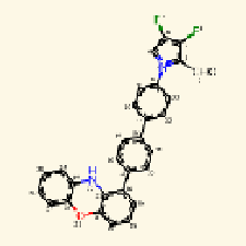 O=Cc1c(F)c(F)cn1-c1ccc(-c2ccc(-c3cccc4c3Nc3ccccc3O4)cc2)cc1